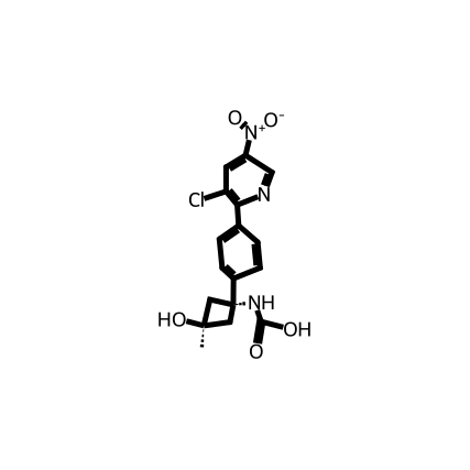 C[C@]1(O)C[C@@](NC(=O)O)(c2ccc(-c3ncc([N+](=O)[O-])cc3Cl)cc2)C1